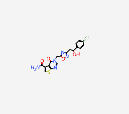 NC(=O)c1csc2ncn(Cc3nc(CC(O)c4ccc(Cl)cc4)no3)c(=O)c12